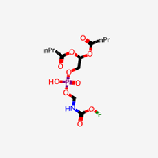 CCCC(=O)OC(COP(=O)(O)OCNC(=O)OF)OC(=O)CCC